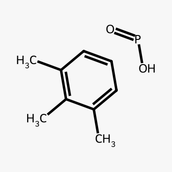 Cc1cccc(C)c1C.O=PO